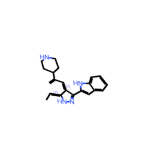 C=C(/C=c1/c(-c2cc3ccccc3[nH]2)n[nH]/c1=C\C)C1CCNCC1